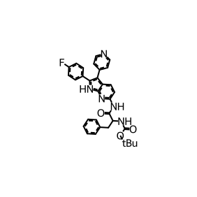 CC(C)(C)OC(=O)NC(Cc1ccccc1)C(=O)Nc1ccc2c(-c3ccncc3)c(-c3ccc(F)cc3)[nH]c2n1